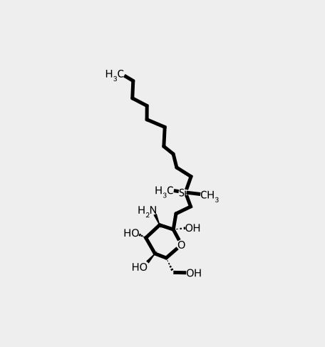 CCCCCCCCCC[Si](C)(C)CC[C@@]1(O)O[C@H](CO)[C@@H](O)[C@H](O)[C@H]1N